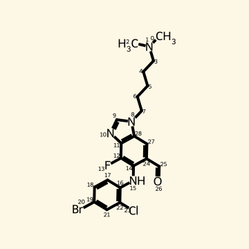 CN(C)CCCCCn1cnc2c(F)c(Nc3ccc(Br)cc3Cl)c(C=O)cc21